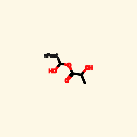 CCCCCC(O)OC(=O)C(C)O